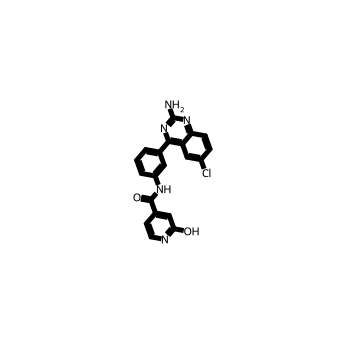 Nc1nc(-c2cccc(NC(=O)c3ccnc(O)c3)c2)c2cc(Cl)ccc2n1